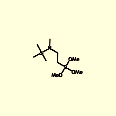 CO[Si](CCN(C)[Si](C)(C)C)(OC)OC